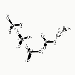 [Ba+2].[O]=[Nb](=[O])[O-].[O]=[Nb](=[O])[O-].[O]=[Ti]([O-])[O-].[O]=[Zr]([O-])[O-].[Pb+2].[Pb+2]